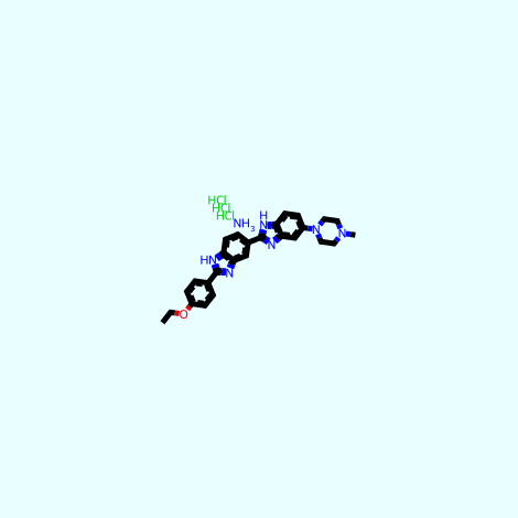 CCOc1ccc(-c2nc3cc(-c4nc5cc(N6CCN(C)CC6)ccc5[nH]4)ccc3[nH]2)cc1.Cl.Cl.Cl.N